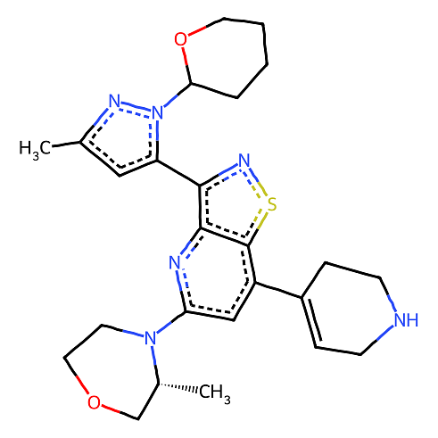 Cc1cc(-c2nsc3c(C4=CCNCC4)cc(N4CCOC[C@H]4C)nc23)n(C2CCCCO2)n1